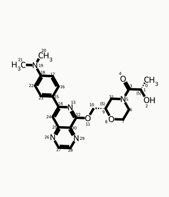 C[C@H](O)C(=O)N1CCO[C@H](COc2nc(-c3ccc(N(C)C)cc3)cc3nccnc23)C1